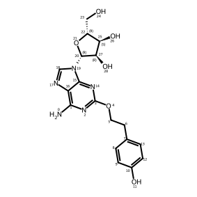 Nc1nc(OCCc2ccc(O)cc2)nc2c1ncn2[C@@H]1O[C@H](CO)[C@@H](O)[C@H]1O